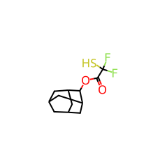 O=C(OC1C2CC3CC(C2)CC1C3)C(F)(F)S